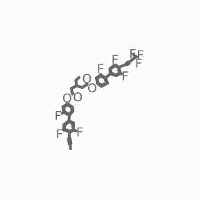 CC#Cc1c(F)cc(-c2ccc(OC(=O)CC(CC)CC(=O)Oc3ccc(-c4cc(F)c(C#CC(F)(F)F)c(F)c4)c(F)c3)cc2F)cc1F